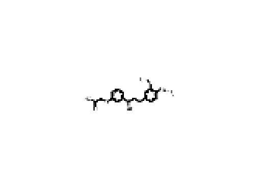 COc1ccc(CCC(O)c2cccc(OCC(=O)O)c2)cc1OC